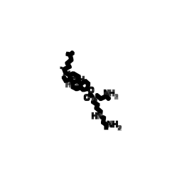 CC(C)CCC[C@@H](C)[C@H]1CC[C@H]2[C@@H]3CC=C4C[C@@H](OC(=O)N(CCCCNCCC(C)N)CCC(C)N)CC[C@]4(C)[C@H]3CC[C@]12C